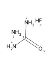 F.N.NC(N)=O